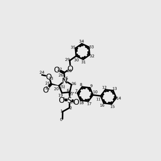 CCCS(=O)(=O)[C@@]1(c2ccc(-c3ccccc3)cc2)C[C@@H](C(=O)OC)N(C(=O)OCc2ccccc2)C1